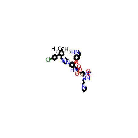 CC1(C)CCC(CN2CCN(c3ccc(C(=O)NS(=O)(=O)c4cc([N+](=O)[O-])c(NCCCN5CCCC5)s4)c(Oc4ccc5[nH]ccc5c4)c3)CC2)=C(c2ccc(Cl)cc2)C1